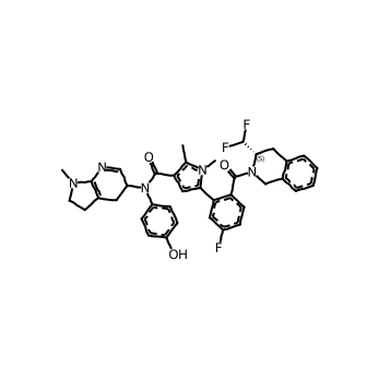 Cc1c(C(=O)N(c2ccc(O)cc2)C2C=NC3=C(CCN3C)C2)cc(-c2cc(F)ccc2C(=O)N2Cc3ccccc3C[C@H]2C(F)F)n1C